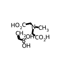 C=CB(O)O.CN(CC(=O)O)CC(=O)O